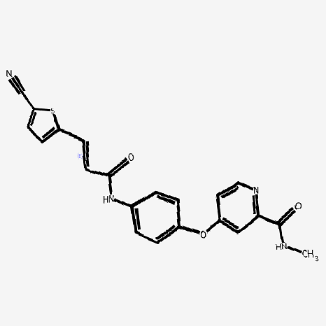 CNC(=O)c1cc(Oc2ccc(NC(=O)/C=C/c3ccc(C#N)s3)cc2)ccn1